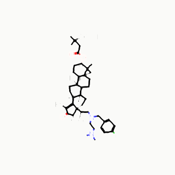 CC(=O)O[C@H](CN(CCN(C)C)Cc1ccc(Cl)cc1)[C@@]12CC[C@]3(C)[C@H](CC[C@@H]4[C@@]5(C)CC[C@H](OC(=O)CC(C)(C)C(=O)O)C6(C)C[C@]65CC[C@]43C)C1=C(C(C)C)C(=O)C2